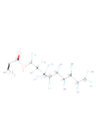 C=CC(=O)OC(F)C(F)(F)C(F)(F)C(F)C(F)C(F)C(F)C(F)C(F)F